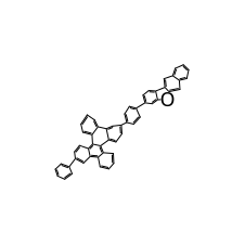 c1ccc(-c2ccc3c(c2)c2ccccc2c2c4ccc(-c5ccc(-c6ccc7c(c6)oc6cc8ccccc8cc67)cc5)cc4c4ccccc4c32)cc1